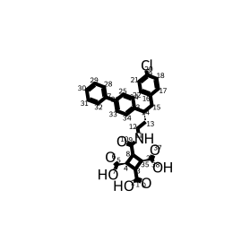 O=C(O)C1[C@@H](C(=O)O)C(C(=O)NCC[C@@H](Cc2ccc(Cl)cc2)c2ccc(-c3ccccc3)cc2)[C@H]1C(=O)O